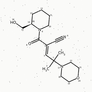 CC(C)(C=C(C#N)C(=O)N1CCCC[C@@H]1CO)N1CCOCC1